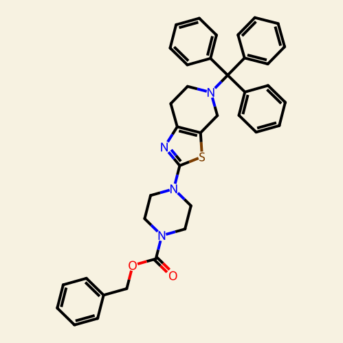 O=C(OCc1ccccc1)N1CCN(c2nc3c(s2)CN(C(c2ccccc2)(c2ccccc2)c2ccccc2)CC3)CC1